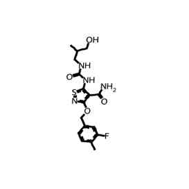 Cc1ccc(COc2nsc(NC(=O)NCC(C)CO)c2C(N)=O)cc1F